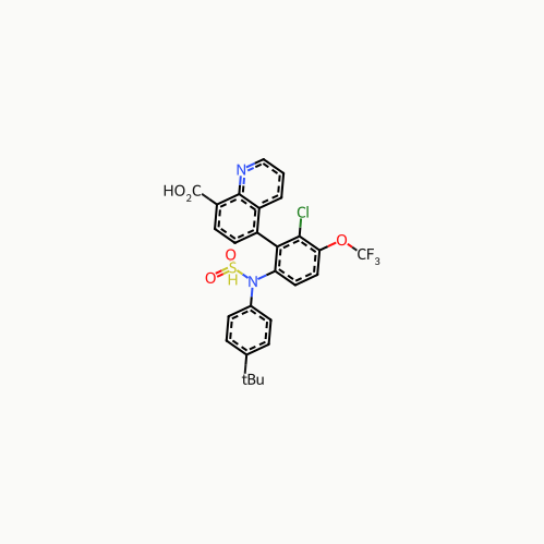 CC(C)(C)c1ccc(N(c2ccc(OC(F)(F)F)c(Cl)c2-c2ccc(C(=O)O)c3ncccc23)[SH](=O)=O)cc1